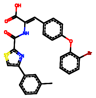 Cc1cccc(-c2csc(C(=O)N/C(=C\c3ccc(Oc4ccccc4Br)cc3)C(=O)O)n2)c1